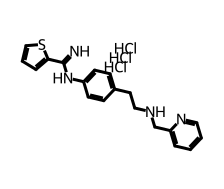 Cl.Cl.Cl.N=C(Nc1ccc(CCNCc2ccccn2)cc1)c1cccs1